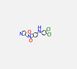 O=C1c2ccc(Nc3ccc(Cl)c(Cl)c3)cc2C(=O)N1Cc1cccnc1